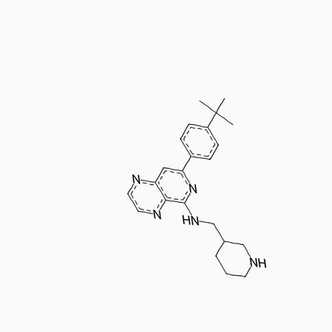 CC(C)(C)c1ccc(-c2cc3nccnc3c(NCC3CCCNC3)n2)cc1